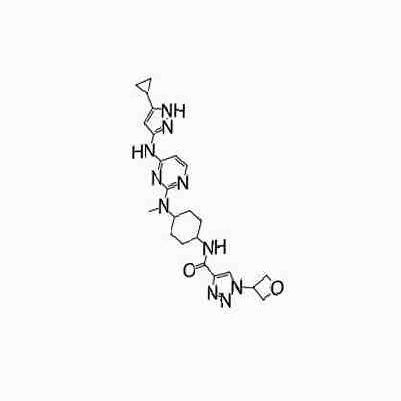 CN(c1nccc(Nc2cc(C3CC3)[nH]n2)n1)C1CCC(NC(=O)c2cn(C3COC3)nn2)CC1